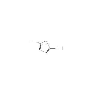 OC1=CC=C(O)C1